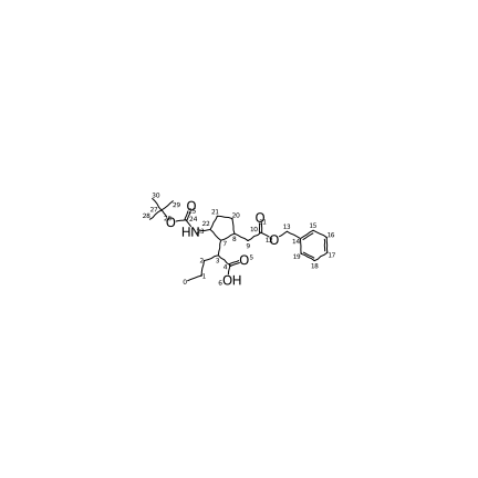 CCCC(C(=O)O)C1C(CC(=O)OCc2ccccc2)CCC1NC(=O)OC(C)(C)C